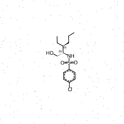 CCC[C@H](CC)[C@@H](CO)NS(=O)(=O)c1ccc(Cl)cc1